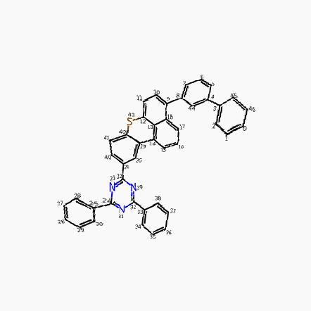 c1ccc(-c2cccc(-c3ccc4c5c(cccc35)-c3cc(-c5nc(-c6ccccc6)nc(-c6ccccc6)n5)ccc3S4)c2)cc1